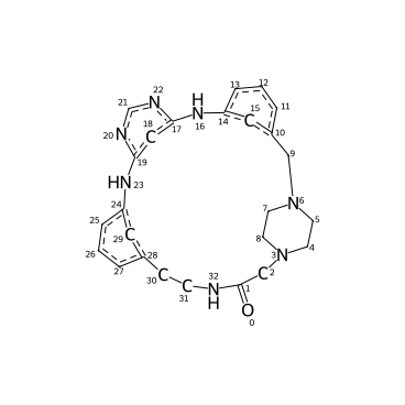 O=C1CN2CCN(CC2)Cc2cccc(c2)Nc2cc(ncn2)Nc2cccc(c2)CCN1